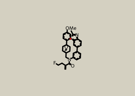 C=C(CCF)C(=O)N(CC12CCC(c3ccc(OC)cc3)(CC1)OC2)c1cccc(-c2ccc3nc(C)sc3c2)c1